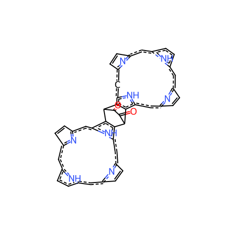 O=C1C(=O)C2c3c(c4cc5nc(cc6ccc(cc7nc(cc3[nH]4)C=C7)[nH]6)C=C5)C1c1c2c2cc3nc(cc4ccc(cc5nc(cc1[nH]2)C=C5)[nH]4)C=C3